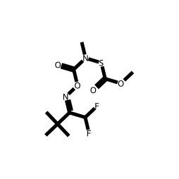 COC(=O)SN(C)C(=O)ON=C(C(F)F)C(C)(C)C